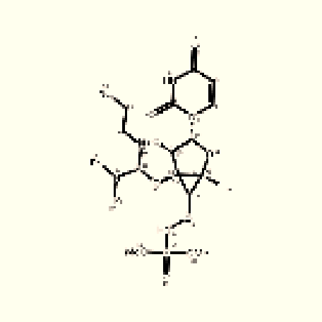 CO[C@H]1[C@H](n2ccc(=O)[nH]c2=O)O[C@@H]2C(ONP(=O)(OC)OC)[C@@]21OP(OCCC#N)N(C(C)C)C(C)C